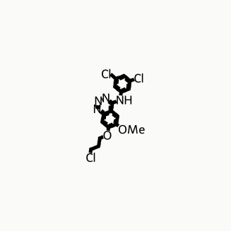 COc1cc2c(Nc3cc(Cl)cc(Cl)c3)nnnc2cc1OCCCCl